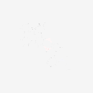 CN(C1=CC=CCC1)c1ccccc1-c1cccc2c1Oc1cc3c(cc1O2)C(c1ccccc1)(c1ccccc1)c1ccccc1-3